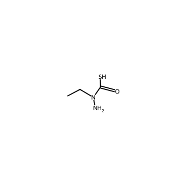 CCN(N)C(=O)S